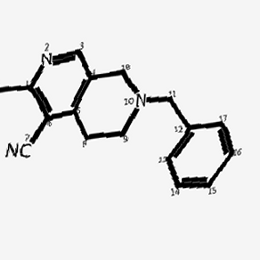 Cc1ncc2c(c1C#N)CCN(Cc1ccccc1)C2